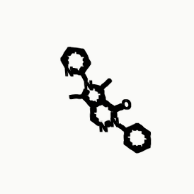 Cc1c2cnn(-c3ccccc3)c(=O)c2c(C)n1-c1ccccn1